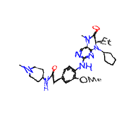 CC[C@@H]1C(=O)N(C)c2cnc(Nc3ccc(CC(=O)NC4CCN(C)CC4)cc3OC)nc2N1C1CCCC1